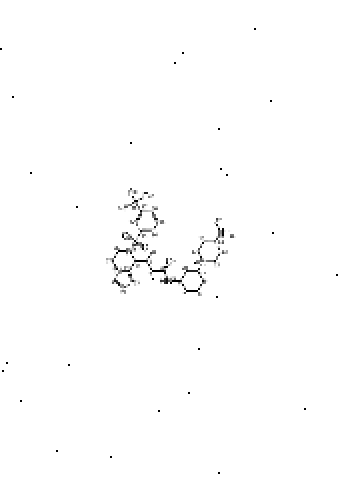 CC(CC(=O)NC1CCCC(N2CCC(N(C)C)CC2)C1)C1c2cccn2CCN1S(=O)(=O)c1cccc(C(F)(F)F)c1